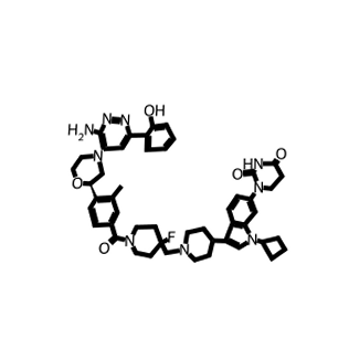 Cc1cc(C(=O)N2CCC(F)(CN3CCC(c4cn(C5CCC5)c5cc(N6CCC(=O)NC6=O)ccc45)CC3)CC2)ccc1[C@@H]1CN(c2cc(-c3ccccc3O)nnc2N)CCO1